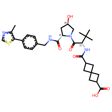 Cc1ncsc1-c1ccc(CNC(=O)[C@@H]2C[C@@H](O)CN2C(=O)[C@@H](NC(=O)C2CC3(CC(C(=O)O)C3)C2)C(C)(C)C)cc1